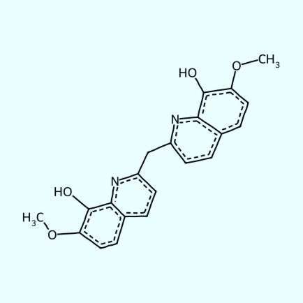 COc1ccc2ccc(Cc3ccc4ccc(OC)c(O)c4n3)nc2c1O